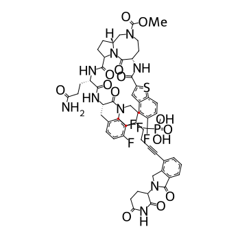 COC(=O)N1CC[C@H](NC(=O)c2cc3cc(C(F)(F)P(=O)(O)O)ccc3s2)C(=O)N2C(C(=O)N[C@@H](CCC(N)=O)C(=O)N[C@@H](Cc3ccc(F)c(F)c3)C(=O)N3CCC(CCC#Cc4cccc5c4CN(C4CCC(=O)NC4=O)C5=O)CC3)CC[C@@H]2C1